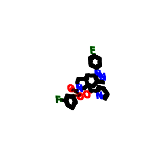 O=C(c1ccccn1)C12Cc3cnn(-c4ccc(F)cc4)c3C=C1CCN(S(=O)(=O)c1cccc(F)c1)C2